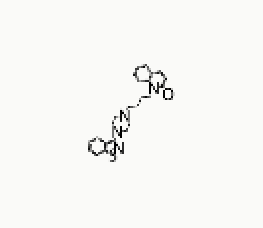 O=c1ccc2ccccc2n1CCCCN1CCN(c2nsc3ccccc23)CC1